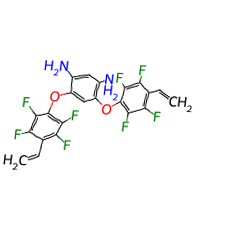 C=Cc1c(F)c(F)c(Oc2cc(Oc3c(F)c(F)c(C=C)c(F)c3F)c(N)cc2N)c(F)c1F